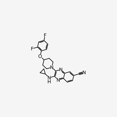 N#Cc1ccc2nc(NC3CC3)c(N3CCC(Oc4ccc(F)cc4F)CC3)nc2c1